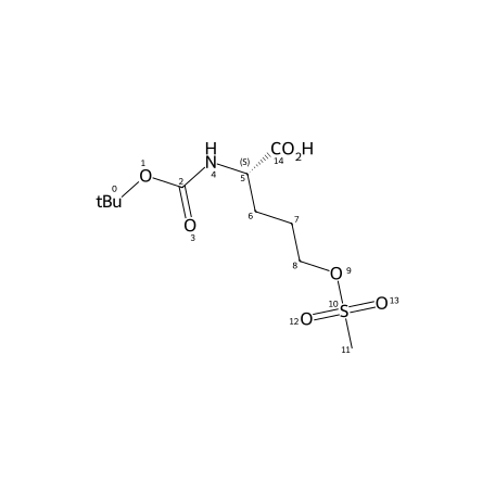 CC(C)(C)OC(=O)N[C@@H](CCCOS(C)(=O)=O)C(=O)O